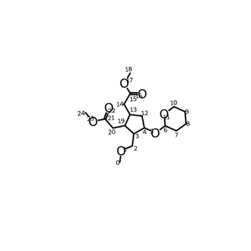 COCC1C(OC2CCCCO2)CC(CC(=O)OC)C1CC(=O)OC